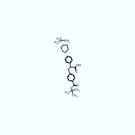 CC(C)(C)OC(=O)c1ccc(CC(C(=O)O)c2ccc([C@H]3CC[C@@H](C(C)(C)C)CC3)cc2)cc1